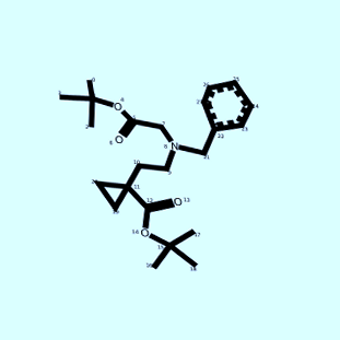 CC(C)(C)OC(=O)CN(CCC1(C(=O)OC(C)(C)C)CC1)Cc1ccccc1